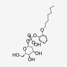 CCCCCCCOc1ccccc1OS(=O)(=O)O[C@@H]1O[C@H](CO)[C@H](O)[C@H](O)[C@H]1O